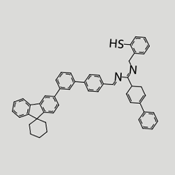 Sc1ccccc1C/N=C(\N=C\c1ccc(-c2cccc(-c3ccc4c(c3)-c3ccccc3C43CCCCC3)c2)cc1)C1C=CC(c2ccccc2)=CC1